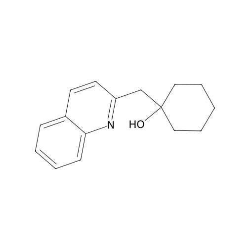 OC1(Cc2ccc3ccccc3n2)CCCCC1